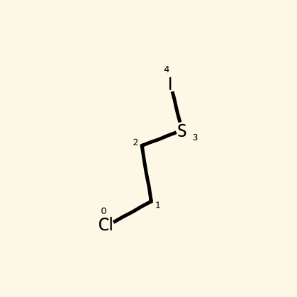 ClCCSI